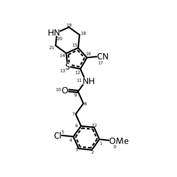 COc1ccc(Cl)c(CCC(=O)Nc2sc3c(c2C#N)CCNC3)c1